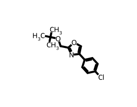 CC(C)(C)OCc1nc(-c2ccc(Cl)cc2)co1